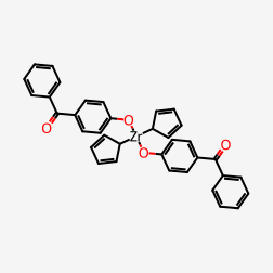 O=C(c1ccccc1)c1ccc([O][Zr]([O]c2ccc(C(=O)c3ccccc3)cc2)([CH]2C=CC=C2)[CH]2C=CC=C2)cc1